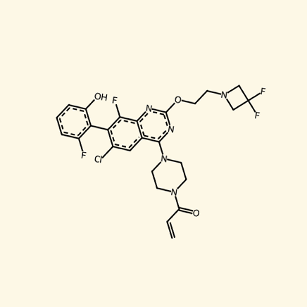 C=CC(=O)N1CCN(c2nc(OCCN3CC(F)(F)C3)nc3c(F)c(-c4c(O)cccc4F)c(Cl)cc23)CC1